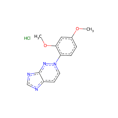 COc1ccc(-n2ccc3ncnc-3n2)c(OC)c1.Cl